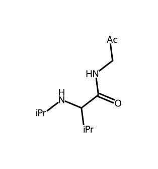 CC(=O)CNC(=O)C(NC(C)C)C(C)C